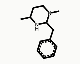 CC1CCN(C)C(Cc2ccccc2)N1